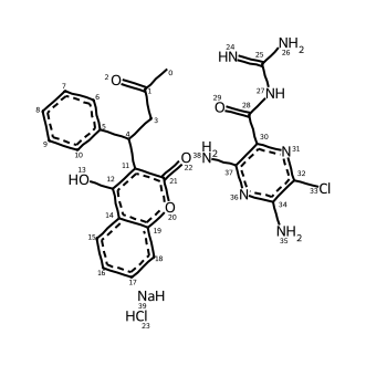 CC(=O)CC(c1ccccc1)c1c(O)c2ccccc2oc1=O.Cl.N=C(N)NC(=O)c1nc(Cl)c(N)nc1N.[NaH]